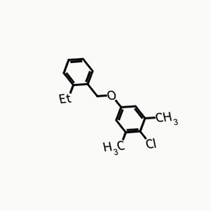 CCc1ccccc1COc1cc(C)c(Cl)c(C)c1